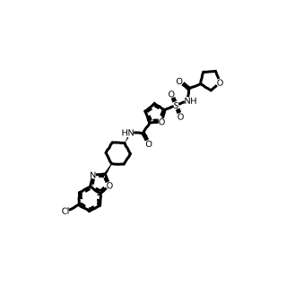 O=C(N[C@H]1CC[C@H](c2nc3cc(Cl)ccc3o2)CC1)c1ccc(S(=O)(=O)NC(=O)C2CCOC2)o1